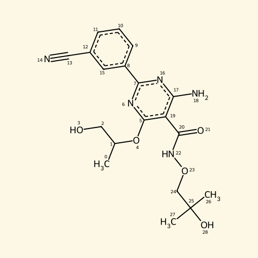 CC(CO)Oc1nc(-c2cccc(C#N)c2)nc(N)c1C(=O)NOCC(C)(C)O